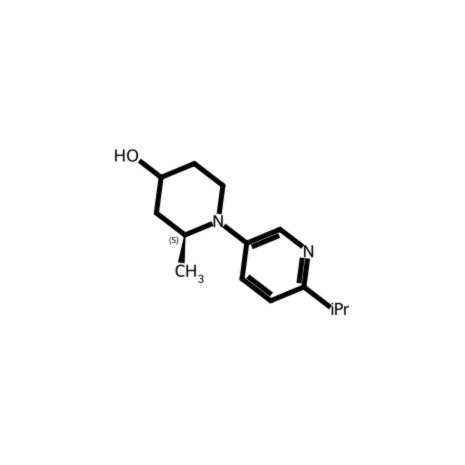 CC(C)c1ccc(N2CCC(O)C[C@@H]2C)cn1